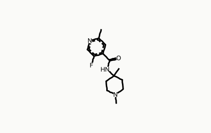 Cc1cc(C(=O)NC2(C)CCN(C)CC2)c(F)cn1